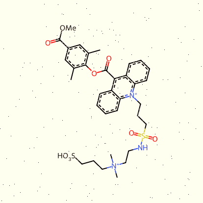 COC(=O)c1cc(C)c(OC(=O)c2c3ccccc3[n+](CCCS(=O)(=O)NCC[N+](C)(C)CCCS(=O)(=O)O)c3ccccc23)c(C)c1